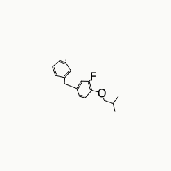 CC(C)COc1ccc(Cc2c[c]ccc2)cc1F